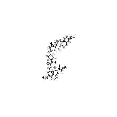 CCCC(=O)NC(Cc1ccccc1)C(=O)NC(CCCCN)C(=O)Nc1ccc(COC(=O)OC2CCC3C4CCc5cc(O)ccc5C4CCC23C)cc1